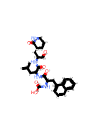 CC(C)CC(NC(=O)C(Cc1cccc2ccccc12)NC(=O)O)C(=O)NC(C=O)C[C@@H]1CCCNC1=O